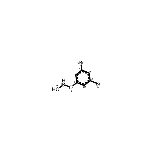 OBOc1cc(Br)cc(Br)c1